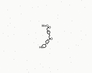 COC(=O)CN1CCC(CCC(=O)N2CCN(C3CCNCC3)CC2)CC1